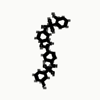 O=S(=O)(Nc1ccc(-c2nc3cc(NS(=O)(=O)c4ccccc4F)ccc3o2)cc1)c1cccc(F)c1